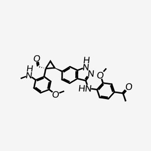 CNc1ccc(OC)cc1[C@@]1(C=O)C[C@H]1c1ccc2c(Nc3ccc(C(C)=O)cc3OC)n[nH]c2c1